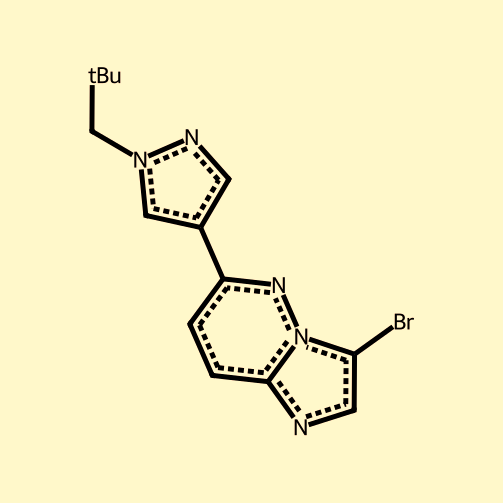 CC(C)(C)Cn1cc(-c2ccc3ncc(Br)n3n2)cn1